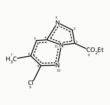 CCOC(=O)c1cnc2cc(C)c(Cl)nn12